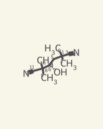 CC(C)(C#N)C[C@H](O)C(C)(C)C#N